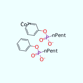 CCCCCP(=O)([O-])Oc1ccccc1.CCCCCP(=O)([O-])Oc1ccccc1.[Co+2]